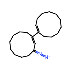 [N-]=[N+]=C1C=C(C2=CCCCCCCCCC2)CCCCCCCC1